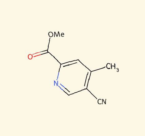 COC(=O)c1cc(C)c(C#N)cn1